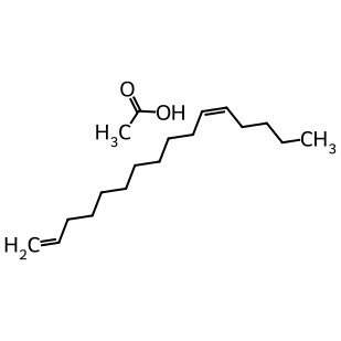 C=CCCCCCCCC/C=C\CCCC.CC(=O)O